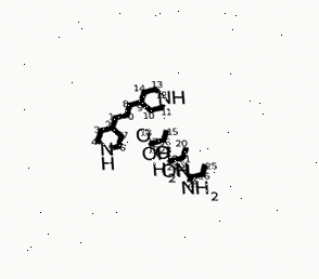 C(CC1CCNCC1)CC1CCNCC1.CCC(=O)O.CCC(=O)O.CCC(N)N